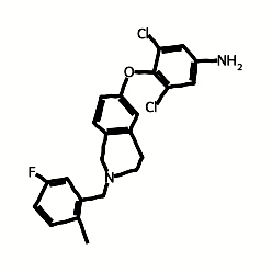 Cc1ccc(F)cc1CN1CCc2cc(Oc3c(Cl)cc(N)cc3Cl)ccc2C1